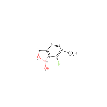 O=C(O)c1ccc2c(c1F)B(O)OC2